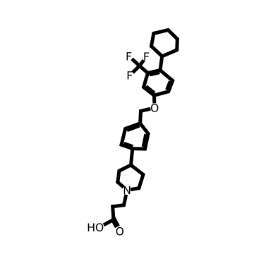 O=C(O)CCN1CCC(c2ccc(COc3ccc(C4CCCCC4)c(C(F)(F)F)c3)cc2)CC1